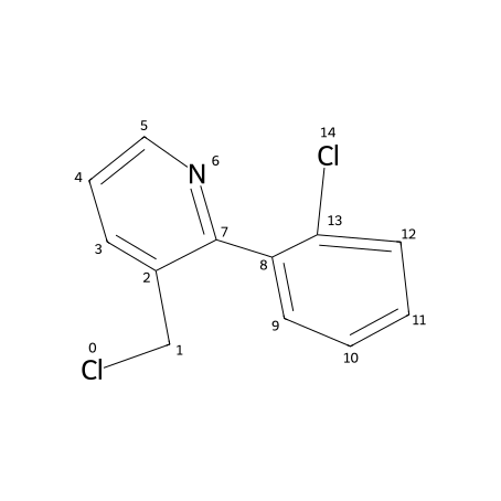 ClCc1cccnc1-c1ccccc1Cl